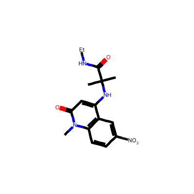 CCNC(=O)C(C)(C)Nc1cc(=O)n(C)c2ccc([N+](=O)[O-])cc12